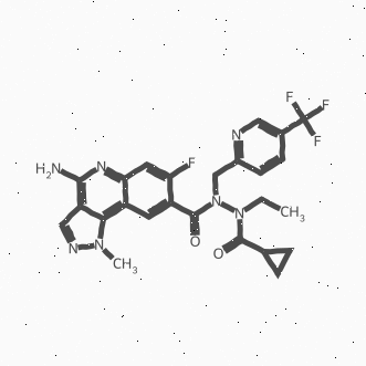 CCN(C(=O)C1CC1)N(Cc1ccc(C(F)(F)F)cn1)C(=O)c1cc2c(cc1F)nc(N)c1cnn(C)c12